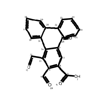 O=Cc1cc(C(=O)O)c(C=O)c(C=O)c1-c1ccccc1-c1ccccc1